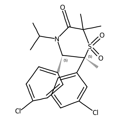 CC(C)N1C(=O)C(C)(C)S(=O)(=O)[C@@](C)(c2cccc(Cl)c2)[C@@H]1c1ccc(Cl)cc1